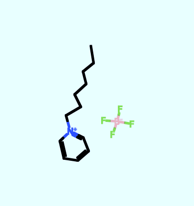 CCCCCCC[n+]1ccccc1.F[B-](F)(F)F